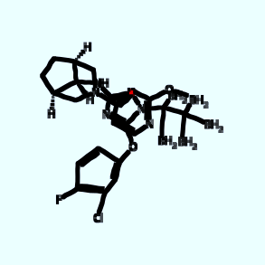 BC(B)(B)C(B)(B)n1nc(N[C@@H]2[C@@H]3CC[C@H]2CN(c2ccnc(OC)c2)C3)nc1Oc1ccc(F)c(Cl)c1